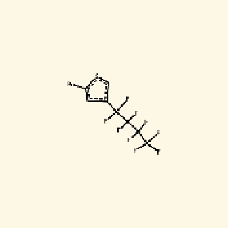 FC(F)(F)C(F)(F)C(F)(F)C(F)(F)c1csc(Br)c1